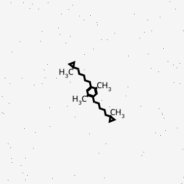 Cc1cc(CCCCCC2(C)CC2)c(C)cc1CCCCCC1(C)CC1